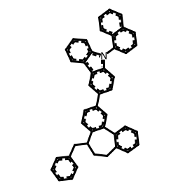 c1ccc(CC2CCc3ccccc3-c3cc(-c4ccc5c(c4)c4ccccc4n5-c4cccc5ccccc45)ccc32)cc1